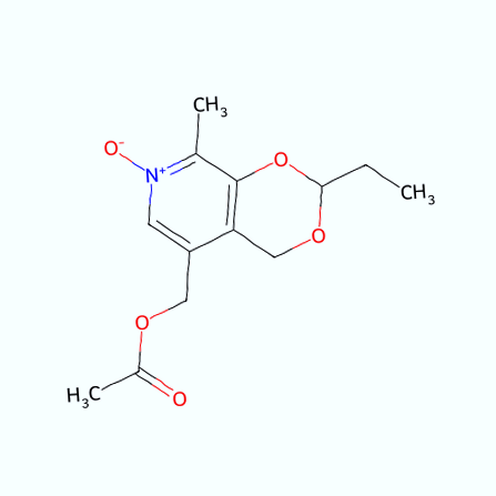 CCC1OCc2c(COC(C)=O)c[n+]([O-])c(C)c2O1